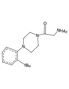 CC(=O)NCC(=O)N1CCN(c2ccccc2C(C)(C)C)CC1